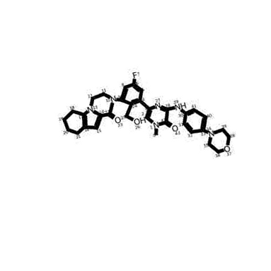 Cn1cc(-c2cc(F)cc(N3CCn4c(cc5c4CCCC5)C3=O)c2CO)nc(Nc2ccc(N3CCOCC3)cc2)c1=O